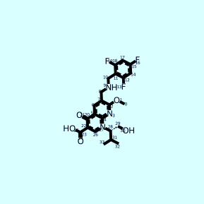 COc1nc2c(cc1CNCc1c(F)cc(F)cc1F)c(=O)c(C(=O)O)cn2[C@H](CO)C(C)C